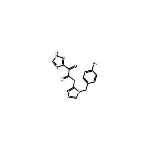 CC(=O)c1ccc(Cn2cccc2CC(=O)C(=O)c2nc[nH]n2)cc1